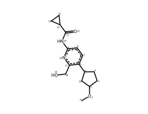 COC1CCC(c2ccc(NC(=O)C3CC3)nc2CO)C1